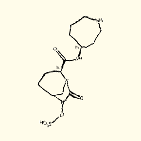 O=C(N[C@H]1CCCNCC1)[C@@H]1CCC2CN1C(=O)N2OS(=O)(=O)O